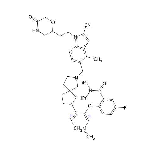 C=N/C=C(Oc1ccc(F)cc1C(=O)N(C(C)C)C(C)C)\C(=N/C)N1CCC2(CCN(Cc3ccc4c(cc(C#N)n4CCC4CNC(=O)CO4)c3C)C2)C1